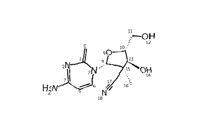 C=C1N=C(N)C=CN1[C@@H]1O[C@H](CO)[C@@H](O)[C@@]1(C)C#N